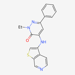 CCn1nc(-c2ccccc2)cc(Nc2csc3cnccc23)c1=O